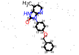 Cc1ccnc2c1[nH]c(=O)n2-c1ccc(OCc2ccccc2)cc1